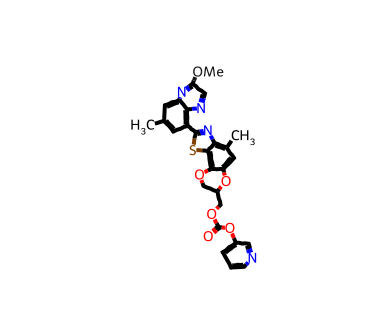 COc1cnc2c(-c3nc4c(C)cc5c(c4s3)OCC(COC(=O)Oc3cccnc3)O5)cc(C)cc2n1